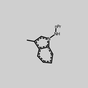 CCCNn1cc(C)c2ccccc21